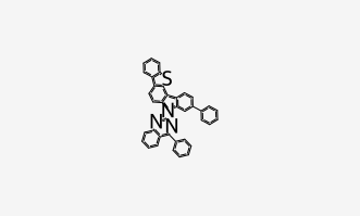 c1ccc(-c2ccc3c4c5sc6ccccc6c5ccc4n(-c4nc(-c5ccccc5)c5ccccc5n4)c3c2)cc1